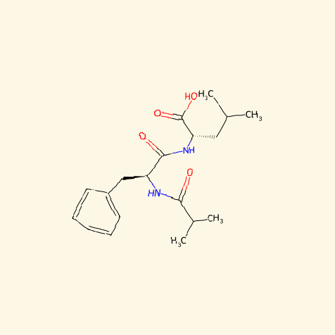 CC(C)C[C@H](NC(=O)[C@H](Cc1ccccc1)NC(=O)C(C)C)C(=O)O